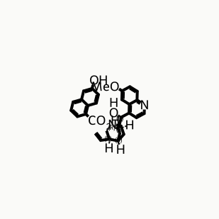 C=C[C@H]1C[N@]2CC[C@H]1C[C@@H]2[C@@H](O)c1ccnc2ccc(OC)cc12.O=C(O)c1cccc2cc(O)ccc12